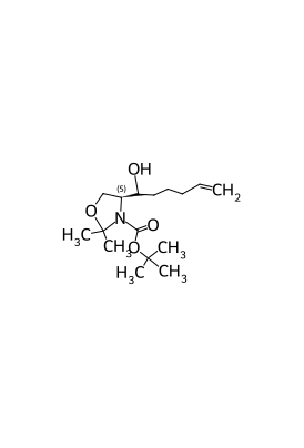 C=CCCCC(O)[C@@H]1COC(C)(C)N1C(=O)OC(C)(C)C